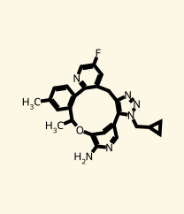 Cc1ccc2c(c1)C(C)Oc1cc(cnc1N)-c1c(nnn1CC1CC1)Cc1cc(F)cnc1-2